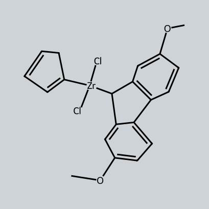 COc1ccc2c(c1)[CH]([Zr]([Cl])([Cl])[C]1=CC=CC1)c1cc(OC)ccc1-2